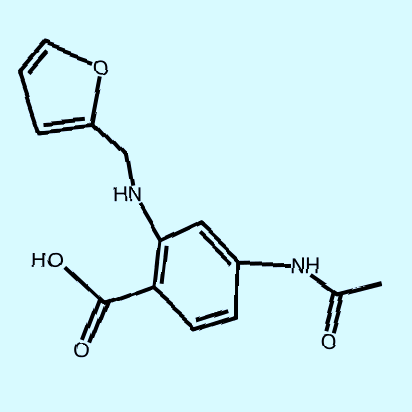 CC(=O)Nc1ccc(C(=O)O)c(NCc2ccco2)c1